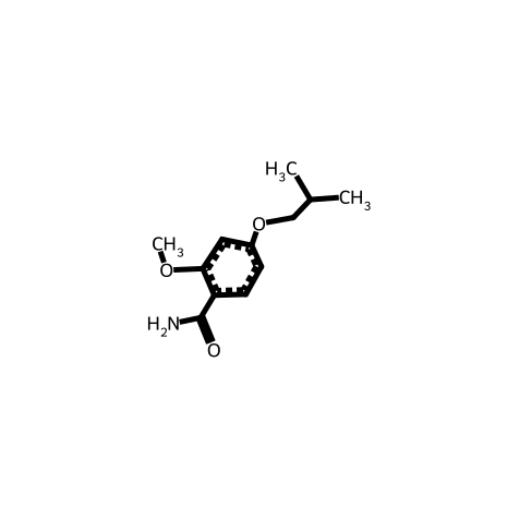 COc1cc(OCC(C)C)ccc1C(N)=O